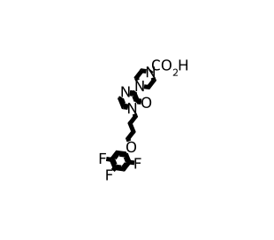 O=C(O)N1CCN(c2nccn(CCCCOc3cc(F)c(F)cc3F)c2=O)CC1